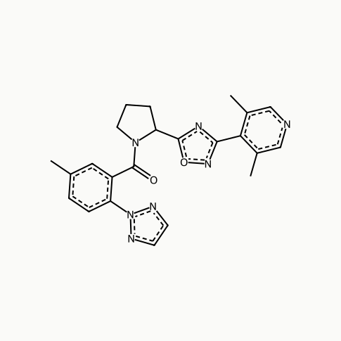 Cc1ccc(-n2nccn2)c(C(=O)N2CCCC2c2nc(-c3c(C)cncc3C)no2)c1